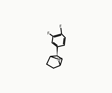 Fc1ccc([C@H]2CC3CCC2N3)cc1F